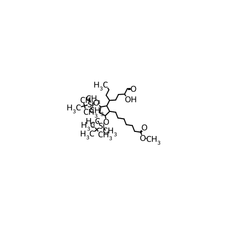 CCCC(CCC(O)C=O)C1C(O[Si](C)(C)C(C)(C)C)CC(O[Si](C)(C)C(C)(C)C)C1CCCCCCC(=O)OC